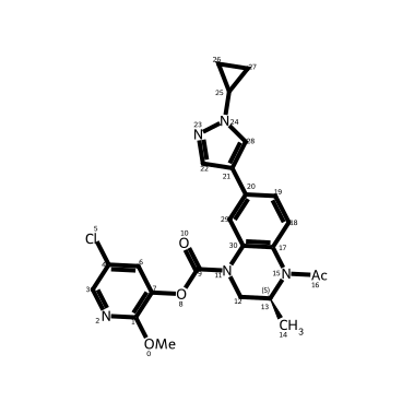 COc1ncc(Cl)cc1OC(=O)N1C[C@H](C)N(C(C)=O)c2ccc(-c3cnn(C4CC4)c3)cc21